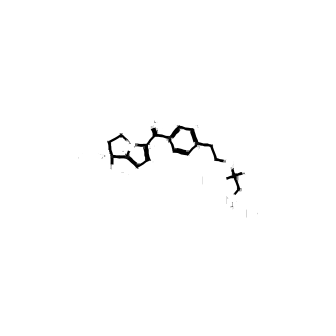 CC(C)(CNC=O)OCCc1ccc(C(=O)c2ccc3n2CC[C@]3(C(=O)O)C(C)(C)C)cc1